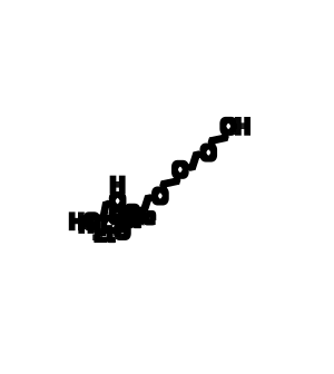 CCOCC.COC.OCCO.OCCOCCOCCOCCO